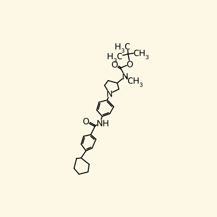 CN(C(=O)OC(C)(C)C)C1CCN(c2ccc(NC(=O)c3ccc(C4CCCCC4)cc3)cc2)C1